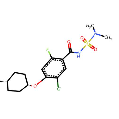 CN(C)S(=O)(=O)NC(=O)c1cc(Cl)c(O[C@H]2CC[C@@H](C)CC2)cc1F